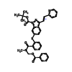 CN(COC(=O)c1ccccc1)C(=O)c1ccccc1Sc1ccc2c(/C=C/c3ccccn3)nn(C(=O)OC(C)(C)C)c2c1